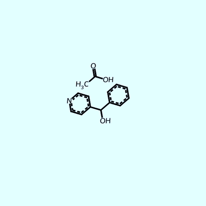 CC(=O)O.OC(c1ccccc1)c1ccncc1